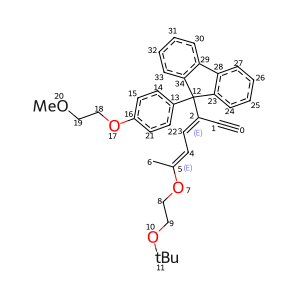 C#C/C(=C\C=C(/C)OCCOC(C)(C)C)C1(c2ccc(OCCOC)cc2)c2ccccc2-c2ccccc21